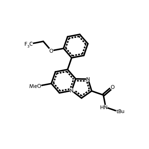 COc1cc(-c2ccccc2OCC(F)(F)F)c2nc(C(=O)NC(C)(C)C)cn2c1